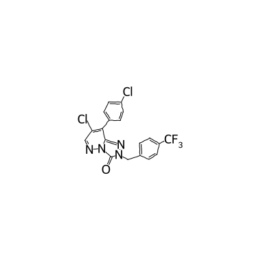 O=c1n(Cc2ccc(C(F)(F)F)cc2)nc2c(-c3ccc(Cl)cc3)c(Cl)cnn12